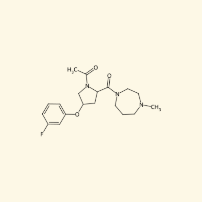 CC(=O)N1CC(Oc2cccc(F)c2)CC1C(=O)N1CCCN(C)CC1